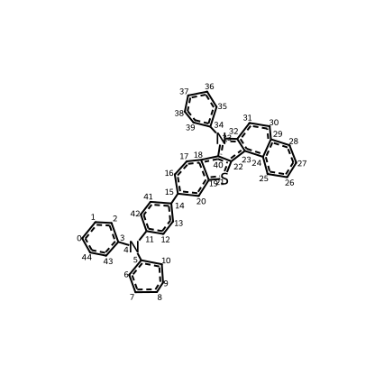 c1ccc(N(c2ccccc2)c2ccc(-c3ccc4c(c3)sc3c5c6ccccc6ccc5n(-c5ccccc5)c43)cc2)cc1